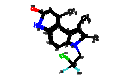 CCc1c(C)c2c3c(C(F)(F)F)cc(=O)[nH]c3ccc2n1CC(F)(F)Cl